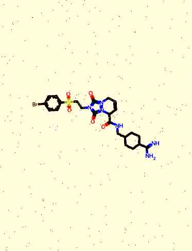 N=C(N)C1CCC(CNC(=O)C2C=CCn3c(=O)n(CCS(=O)(=O)c4ccc(Br)cc4)c(=O)n32)CC1